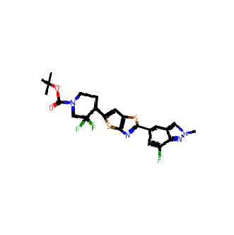 Cn1cc2cc(-c3nc4sc(C5CCN(C(=O)OC(C)(C)C)CC5(F)F)cc4s3)cc(F)c2n1